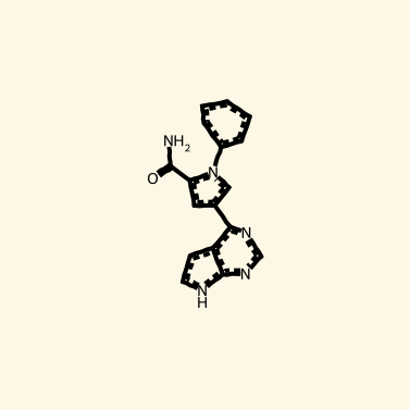 NC(=O)c1cc(-c2ncnc3[nH]ccc23)cn1-c1ccccc1